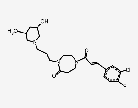 C[C@H]1C[C@@H](O)CN(CCCN2CCN(C(=O)/C=C/c3ccc(F)c(Cl)c3)CCC2=O)C1